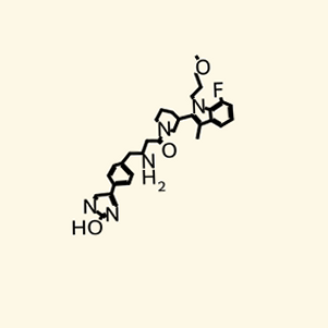 COCCCn1c(C2CCCN(C(=O)C[C@H](N)Cc3ccc(-c4cnc(O)nc4)cc3)C2)c(C)c2cccc(F)c21